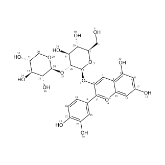 OC[C@H]1O[C@@H](Oc2cc3c(O)cc(O)cc3[o+]c2-c2ccc(O)c(O)c2)[C@H](O[C@@H]2OC[C@@H](O)[C@H](O)[C@H]2O)[C@@H](O)[C@@H]1O